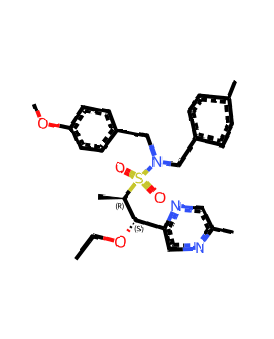 CCO[C@@H](c1cnc(C)cn1)[C@@H](C)S(=O)(=O)N(Cc1ccc(C)cc1)Cc1ccc(OC)cc1